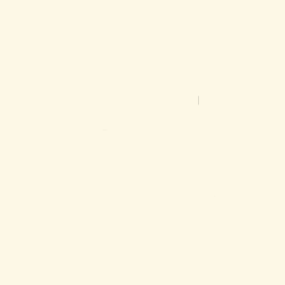 C=CCOc1ccc(-c2ccc(OC)c(F)c2F)c(F)c1